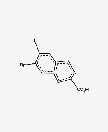 O=C(O)c1cc2cc(Br)c(I)cc2cn1